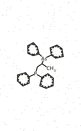 CC(CP(c1ccccc1)c1ccccc1)[As](c1ccccc1)c1ccccc1